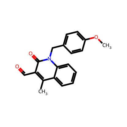 COc1ccc(Cn2c(=O)c(C=O)c(C)c3ccccc32)cc1